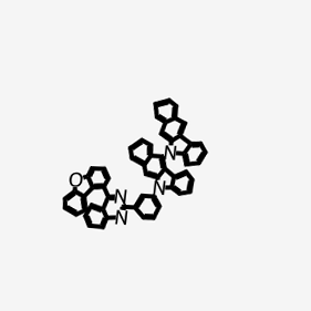 c1cc(-c2nc(-c3cccc4oc5ccccc5c34)c3ccccc3n2)cc(-n2c3ccccc3c3c(-n4c5ccccc5c5cc6ccccc6cc54)c4ccccc4cc32)c1